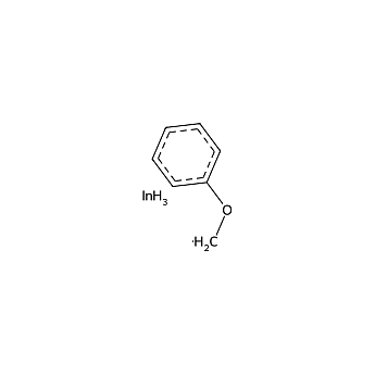 [CH2]Oc1ccccc1.[InH3]